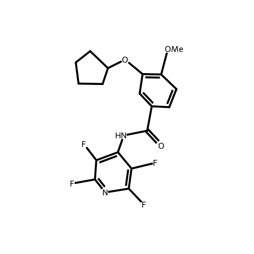 COc1ccc(C(=O)Nc2c(F)c(F)nc(F)c2F)cc1OC1CCCC1